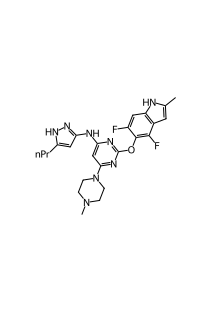 CCCc1cc(Nc2cc(N3CCN(C)CC3)nc(Oc3c(F)cc4[nH]c(C)cc4c3F)n2)n[nH]1